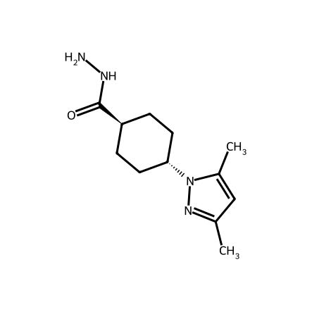 Cc1cc(C)n([C@H]2CC[C@H](C(=O)NN)CC2)n1